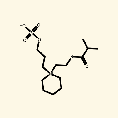 CC(C)C(=O)NCC[N+]1(CCCOS(=O)(=O)O)CCCCC1